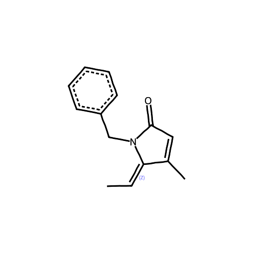 C/C=C1/C(C)=CC(=O)N1Cc1ccccc1